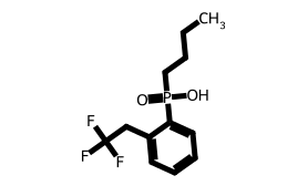 CCCCP(=O)(O)c1ccccc1CC(F)(F)F